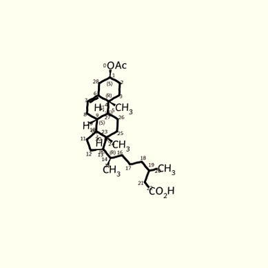 CC(=O)O[C@H]1CC[C@@]2(C)C(=CC[C@H]3[C@@H]4CC[C@H]([C@H](C)CCCC(C)CC(=O)O)[C@@]4(C)CC[C@@H]32)C1